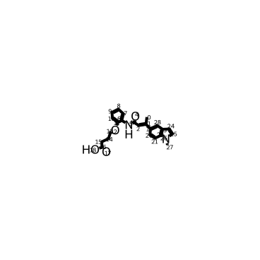 CC(=CC(=O)Nc1ccccc1OCCCC(=O)O)c1ccc2c(ccn2C)c1